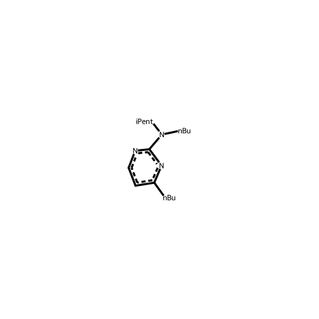 CCCCc1ccnc(N(CCCC)C(C)CCC)n1